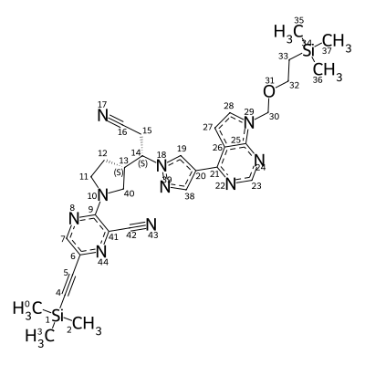 C[Si](C)(C)C#Cc1cnc(N2CC[C@H]([C@H](CC#N)n3cc(-c4ncnc5c4ccn5COCC[Si](C)(C)C)cn3)C2)c(C#N)n1